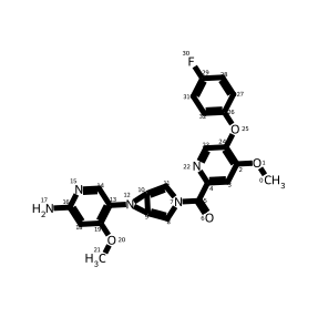 COc1cc(C(=O)n2cc3c(c2)N3c2cnc(N)cc2OC)ncc1Oc1ccc(F)cc1